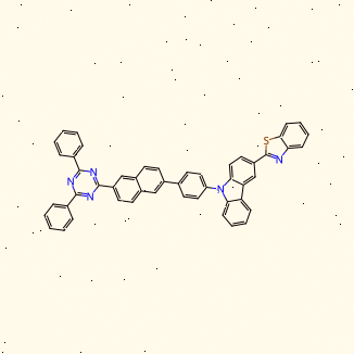 c1ccc(-c2nc(-c3ccccc3)nc(-c3ccc4cc(-c5ccc(-n6c7ccccc7c7cc(-c8nc9ccccc9s8)ccc76)cc5)ccc4c3)n2)cc1